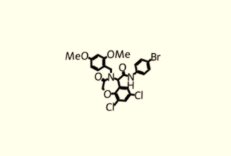 COc1ccc(CN2C(=O)COc3c(Cl)cc(Cl)cc3C2C(=O)Nc2ccc(Br)cc2)c(OC)c1